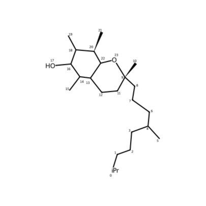 CC(C)CCCC(C)CCC[C@]1(C)CCC2C(C)C(O)C(C)[C@@H](C)C2O1